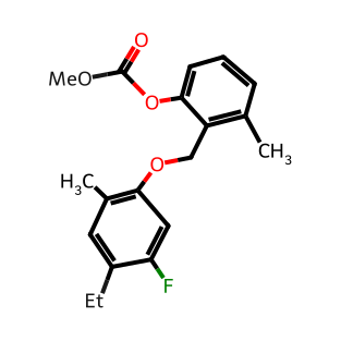 CCc1cc(C)c(OCc2c(C)cccc2OC(=O)OC)cc1F